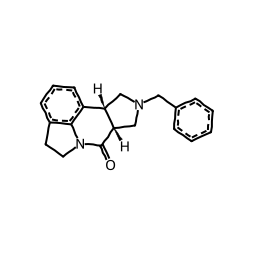 O=C1[C@H]2CN(Cc3ccccc3)C[C@H]2c2cccc3c2N1CC3